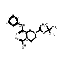 CC(C)(C)OC(=O)N1CCN(C(=O)O)C(C(=O)Nc2ccccc2)C1